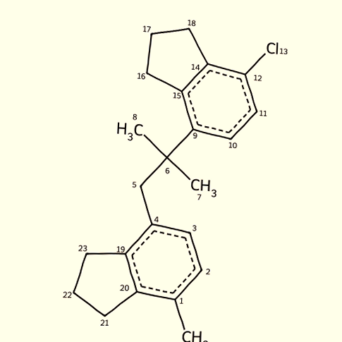 Cc1ccc(CC(C)(C)c2ccc(Cl)c3c2CCC3)c2c1CCC2